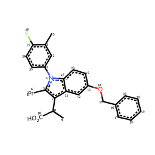 Cc1cc(-n2c(C(C)C)c(C(C)C(=O)O)c3cc(OCc4ccccc4)ccc32)ccc1F